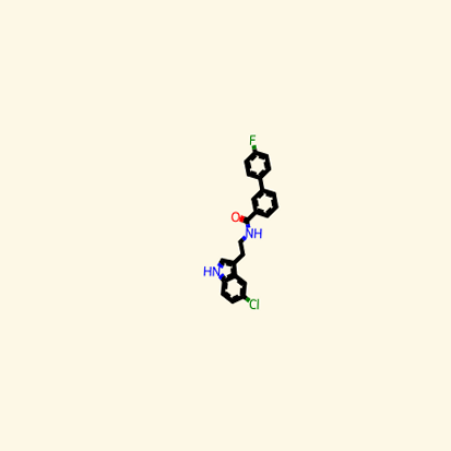 O=C(NCCc1c[nH]c2ccc(Cl)cc12)c1cccc(-c2ccc(F)cc2)c1